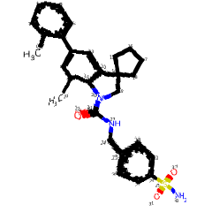 Cc1ccccc1C1=CC(C)C2C(=C1)C1(CCCC1)CN2C(=O)NCc1ccc(S(N)(=O)=O)cc1